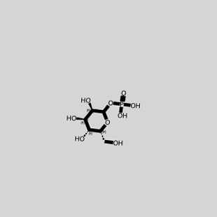 O=P(O)(O)OC1O[C@H](CO)[C@H](O)[C@@H](O)[C@H]1O